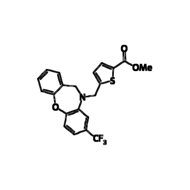 COC(=O)c1ccc(CN2Cc3ccccc3Oc3ccc(C(F)(F)F)cc32)s1